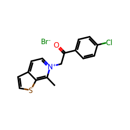 Cc1c2sccc2cc[n+]1CC(=O)c1ccc(Cl)cc1.[Br-]